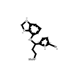 CNCCC(Oc1cccc2c1OCO2)c1ccc(Br)s1